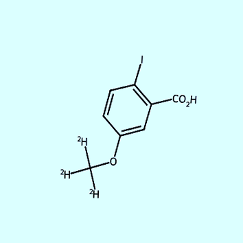 [2H]C([2H])([2H])Oc1ccc(I)c(C(=O)O)c1